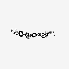 O=[N+]([O-])c1cn2c(n1)OC(COc1ccc(N3CC=C(c4ccc(OC(F)(F)F)cc4)CC3)cc1)CC2